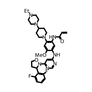 C=CC(=O)Nc1cc(Nc2cc(N3OCCC3c3c(F)cccc3F)ncn2)c(OC)cc1N1CCC(N2CCN(CC)CC2)CC1